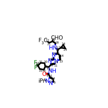 CC(C)n1nccc1C(=O)N[C@H](c1cn2ccc(C(NCC(C=O)CC(F)(F)F)C3CC3)nc2n1)C1CCC(F)(F)CC1